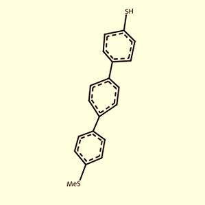 CSc1ccc(-c2ccc(-c3ccc(S)cc3)cc2)cc1